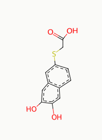 O=C(O)CSc1ccc2cc(O)c(O)cc2c1